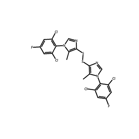 Cc1c(SSc2ncn(-c3c(Cl)cc(F)cc3Cl)c2C)ncn1-c1c(Cl)cc(F)cc1Cl